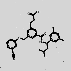 Cc1cc(C)cc(C(CC(C)C)NC(=O)c2cc(CCC(=O)O)cc(COc3cccc(C#N)c3)c2)c1